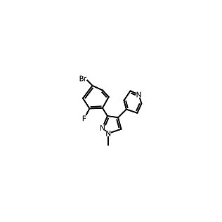 Cn1cc(-c2ccncc2)c(-c2ccc(Br)cc2F)n1